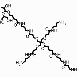 CC(O)[C@H](OCCCCC(=O)NCCCNC(=O)CCOCC(COCCC(=O)NCCCN)(COCCC(=O)NCCCN)NC(=O)CCCC(=O)NCCCNC(=O)CCN)OC(CO)CO